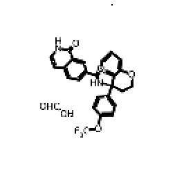 O=C(N[C@]1(c2ccc(OC(F)(F)F)cc2)CCOc2cccnc21)c1ccc2cc[nH]c(=O)c2c1.O=CO